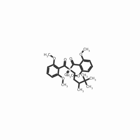 COc1cccc(OC)c1C(=O)P(=O)(CCC(C)C(C)(C)C)C(=O)c1c(OC)cccc1OC